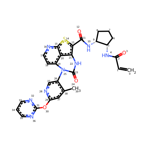 C=CC(=O)N[C@H]1CCC[C@H]1NC(=O)c1sc2nccc3c2c1NC(=O)N3c1cnc(Oc2ncccn2)cc1C